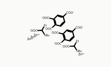 CCCCC(CC)C(=O)[O-].CCCCC(CC)C(=O)[O-].O=C([O-])c1ccc(C(=O)[O-])c(C(=O)[O-])c1.O=C([O-])c1ccc(C(=O)[O-])c(C(=O)[O-])c1.[Zn+2].[Zn+2].[Zn+2].[Zn+2]